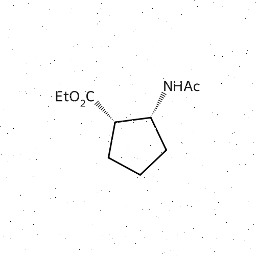 CCOC(=O)[C@H]1CCC[C@H]1NC(C)=O